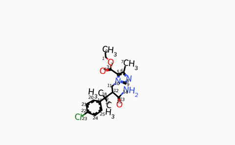 CCOC(=O)c1c(C)ncn1CC(C(N)=O)C(C)(C)c1ccc(Cl)cc1